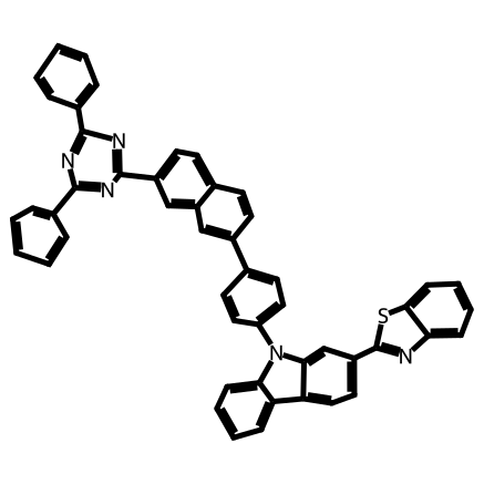 c1ccc(-c2nc(-c3ccccc3)nc(-c3ccc4ccc(-c5ccc(-n6c7ccccc7c7ccc(-c8nc9ccccc9s8)cc76)cc5)cc4c3)n2)cc1